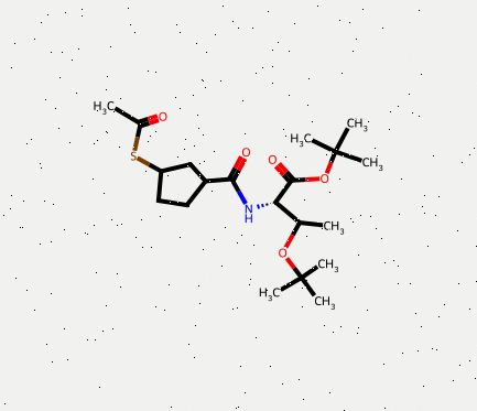 CC(=O)SC1CCC(C(=O)N[C@H](C(=O)OC(C)(C)C)C(C)OC(C)(C)C)C1